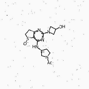 CC(=O)N1CC[C@H](Nc2nc(N3CC(O)C3)nc3c2[S+]([O-])CC3)C1